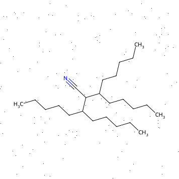 CCCCCC(CCCCC)C(C#N)C(CCCCC)CCCCC